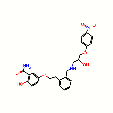 NC(=O)c1cc(OCCc2ccccc2CNCC(O)COc2ccc([N+](=O)[O-])cc2)ccc1O